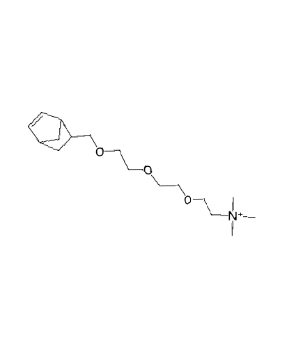 C[N+](C)(C)CCOCCOCCOCC1CC2C=CC1C2